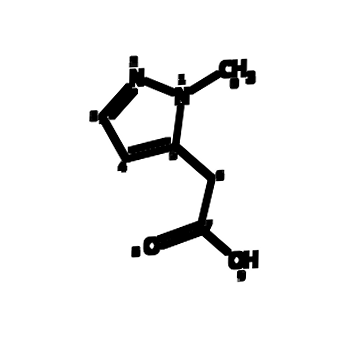 Cn1n[c]cc1CC(=O)O